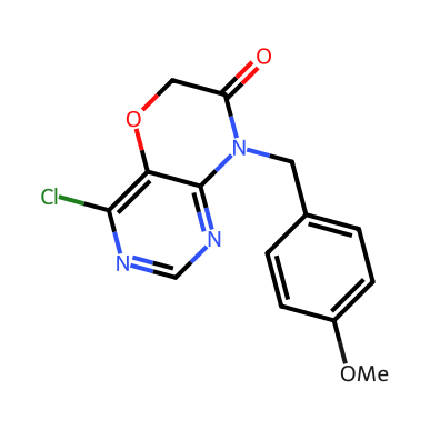 COc1ccc(CN2C(=O)COc3c(Cl)ncnc32)cc1